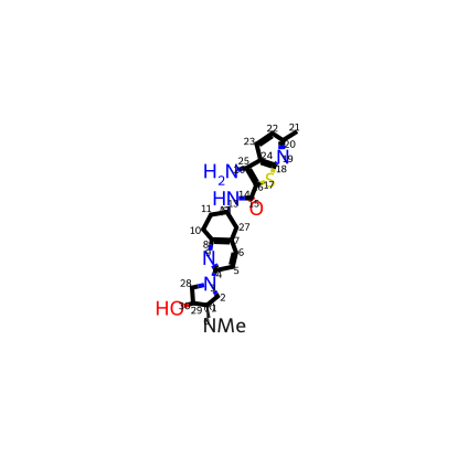 CN[C@@H]1CN(c2ccc3c(n2)CC[C@H](NC(=O)c2sc4nc(C)ccc4c2N)C3)CC1O